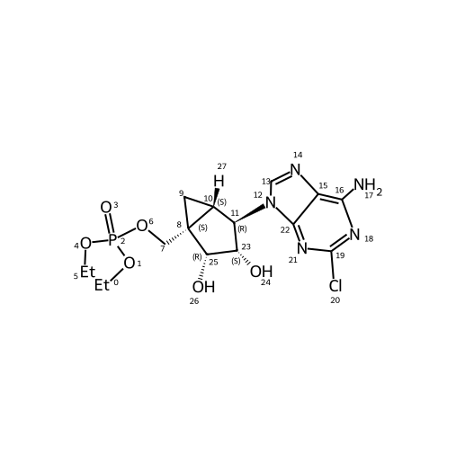 CCOP(=O)(OCC)OC[C@]12C[C@@H]1[C@@H](n1cnc3c(N)nc(Cl)nc31)[C@H](O)[C@@H]2O